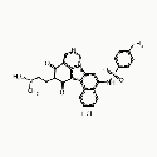 Cc1ccc(S(=O)(=O)Nc2cc3c(c4c5c(cncn53)C(=O)C(CCN(C)C)C4=O)c3ccccc23)cc1.Cl